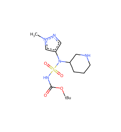 Cn1cc(N(C2CCCNC2)S(=O)(=O)NC(=O)OC(C)(C)C)cn1